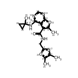 Cc1nc(CNC(=O)c2c(C)oc3ncnc(NC4(C)CC4)c23)oc1C